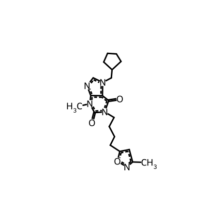 Cc1cc(CCCCn2c(=O)c3c(ncn3CC3CCCC3)n(C)c2=O)on1